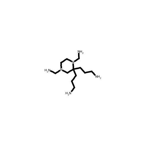 NCCCC1(CCCN)CN(CN)CCN1CN